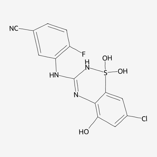 N#Cc1ccc(F)c(NC2=Nc3c(O)cc(Cl)cc3S(O)(O)N2)c1